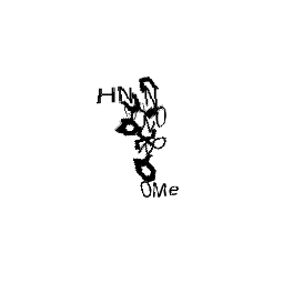 COc1ccc(CN2CCC3(CCN(C(C(=O)N4CCCC4)[C@@H]4CNC[C@@H]4c4ccccc4)CC3)C2=O)cc1